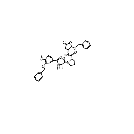 COc1ccc(C(=O)N[C@@H](C)C(=O)N2CCC[C@H]2C(=O)NC2CC(=O)OC2OCc2ccccc2)cc1OCc1ccccc1